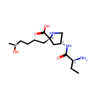 CC[C@H](N)C(=O)N[C@H]1CN[C@@](CCCCB(C)O)(C(=O)O)C1